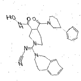 N#C/N=C(\N1CCc2ccccc2C1)N1CCC(C(=O)N2CC[C@H](c3ccccc3)C2)C(C(=O)NO)C1